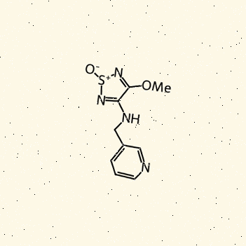 COc1n[s+]([O-])nc1NCc1cccnc1